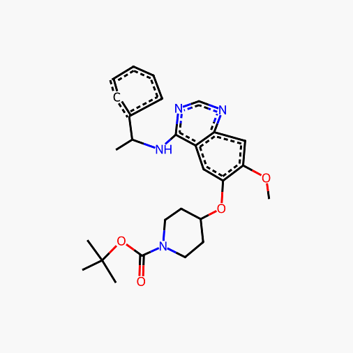 COc1cc2ncnc(NC(C)c3ccccc3)c2cc1OC1CCN(C(=O)OC(C)(C)C)CC1